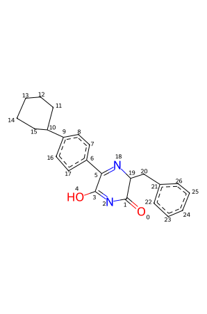 O=C1N=C(O)C(c2ccc(C3CCCCC3)cc2)=NC1Cc1ccccc1